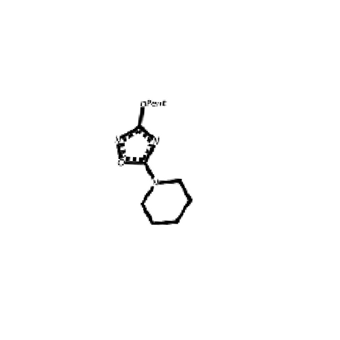 CCCCCc1noc(N2CCCCC2)n1